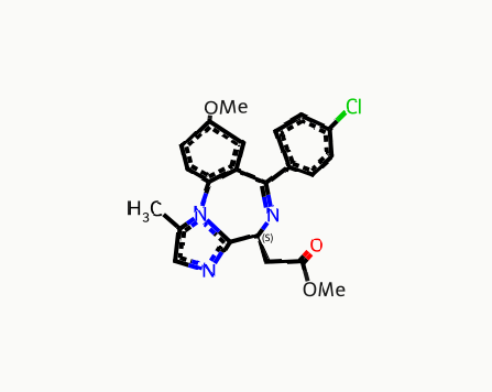 COC(=O)C[C@@H]1N=C(c2ccc(Cl)cc2)c2cc(OC)ccc2-n2c(C)cnc21